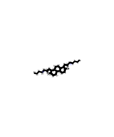 CCC/C=C/c1cc2c(ccc3c2ccc2c4cc(/C=C/CCC)sc4ccc23)s1